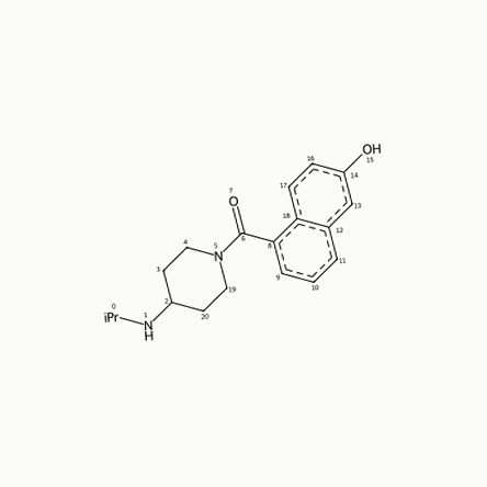 CC(C)NC1CCN(C(=O)c2cccc3cc(O)ccc23)CC1